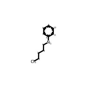 ClCCCC[N]c1ccccc1